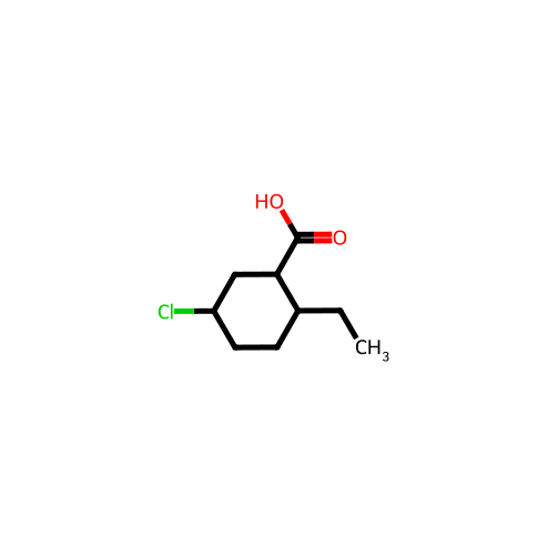 CCC1CCC(Cl)CC1C(=O)O